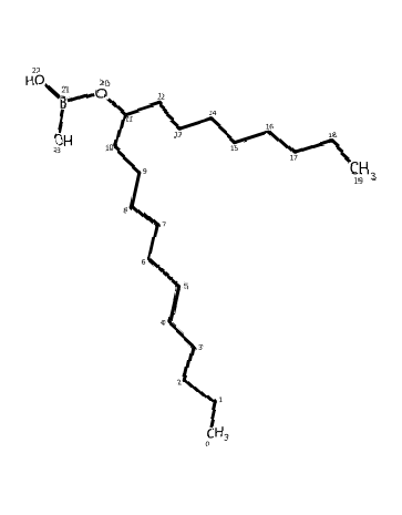 CCCCCCCCCCCC(CCCCCCCC)OB(O)O